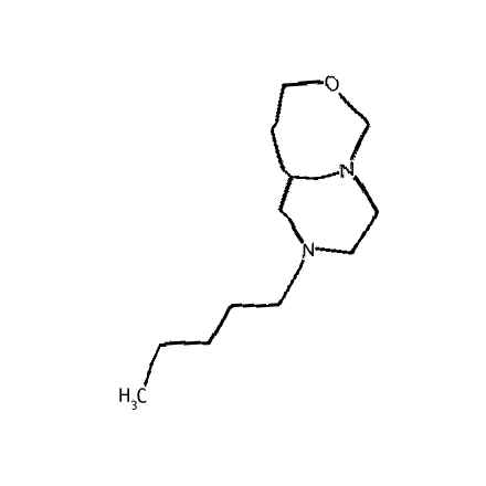 CCCCCN1CCN2COCCC2C1